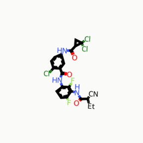 CCC(C#N)C(=O)Nc1c(F)ccc(NC(=O)c2cc(NC(=O)C3CC3(Cl)Cl)ccc2Cl)c1F